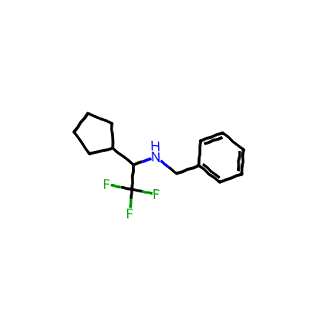 FC(F)(F)C(NCc1ccccc1)C1CCCC1